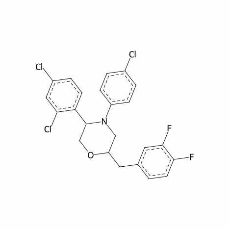 Fc1ccc(CC2CN(c3ccc(Cl)cc3)C(c3ccc(Cl)cc3Cl)CO2)cc1F